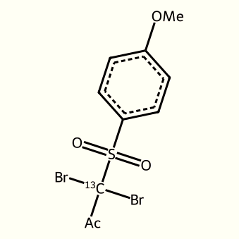 COc1ccc(S(=O)(=O)[13C](Br)(Br)[13C](C)=O)cc1